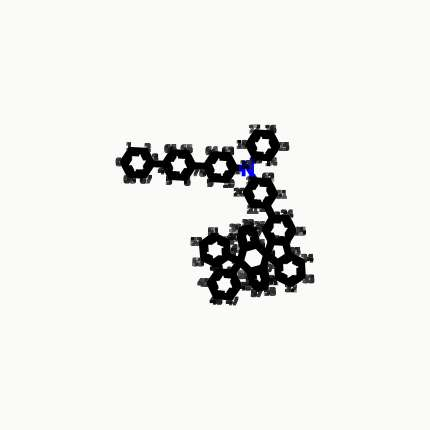 c1ccc(-c2ccc(-c3ccc(N(c4ccccc4)c4ccc(-c5ccc6c(c5)C5(c7ccccc7-6)c6ccccc6C(c6ccccc6)(c6ccccc6)c6ccccc65)cc4)cc3)cc2)cc1